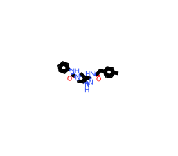 Cc1ccc(CC(=O)Nc2n[nH]c3c2CN(C(=O)Nc2ccccc2)C3)cc1